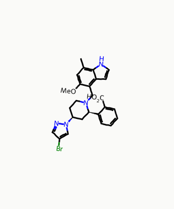 COc1cc(C)c2[nH]ccc2c1CN1CC[C@H](n2cc(Br)cn2)C[C@@H]1c1ccccc1C(=O)O